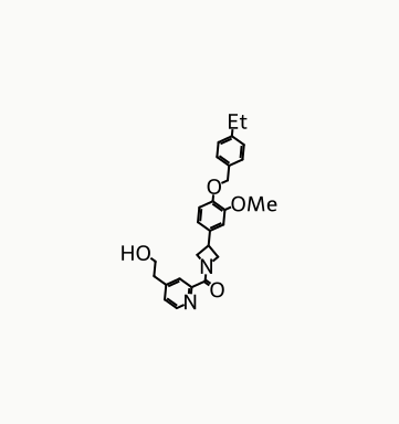 CCc1ccc(COc2ccc(C3CN(C(=O)c4cc(CCO)ccn4)C3)cc2OC)cc1